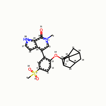 Cn1cc(-c2cc(S(C)(=O)=O)ccc2OC2=C3CC4CC(C3)CC2C4)c2cc[nH]c2c1=O